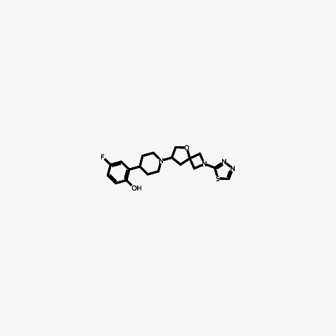 Oc1ccc(F)cc1C1CCN(C2COC3(C2)CN(c2nncs2)C3)CC1